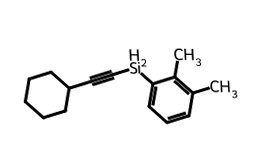 Cc1cccc([SiH2]C#CC2CCCCC2)c1C